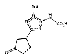 CC(C)(C)n1nc(C2CCC(=O)C2)cc1NC(=O)O